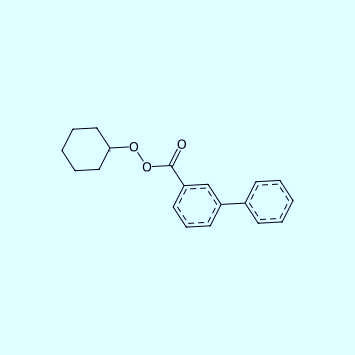 O=C(OO[C]1CCCCC1)c1cccc(-c2ccccc2)c1